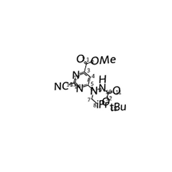 COC(=O)c1cc(N(CC(C)C)NC(=O)OC(C)(C)C)nc(C#N)n1